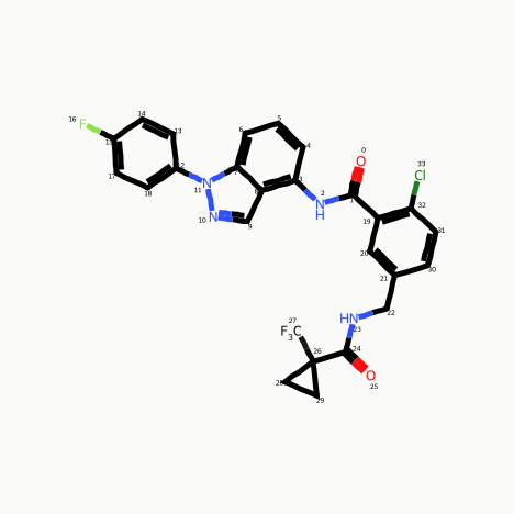 O=C(Nc1cccc2c1cnn2-c1ccc(F)cc1)c1cc(CNC(=O)C2(C(F)(F)F)CC2)ccc1Cl